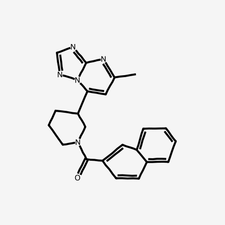 Cc1cc(C2CCCN(C(=O)c3ccc4ccccc4c3)C2)n2ncnc2n1